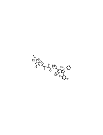 C=CCC(CC)(CC)C1CC(=O)N(CC(=O)NCCNC(=O)[C@@H](N)CCN(C(=O)CO)[C@@H](c2cc(-c3cc(F)ccc3F)cn2Cc2ccccc2)C(C)(C)C)C1=O